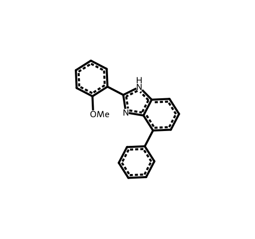 COc1ccccc1-c1nc2c(-c3ccccc3)cccc2[nH]1